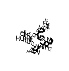 CC(Nc1ncnc2[nH]cnc12)c1cc(Cl)c2cccnc2c1N1CCN(C(=O)c2ccccn2)CC1.O=C(O)C(F)(F)F.O=C(O)C(F)(F)F.O=C(O)C(F)(F)F